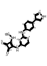 CC(C)(C)Nc1c(Nc2ccnc(Nc3ccc(-c4cn[nH]c4)cc3)n2)c(=O)c1=O